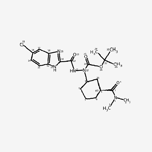 CN(C)C(=O)[C@H]1CCCC(N(NC(=O)c2nc3cc(Cl)ccc3[nH]2)C(=O)OC(C)(C)C)C1